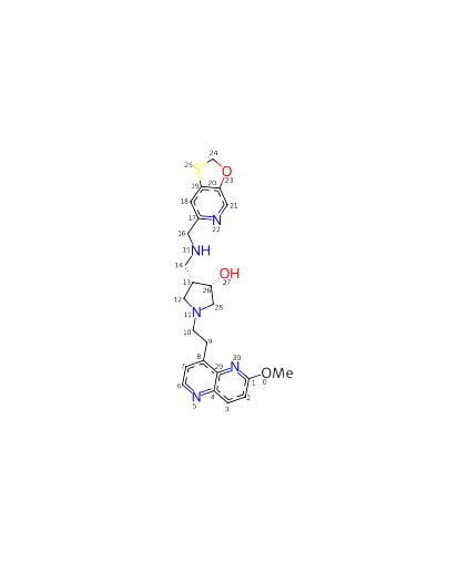 COc1ccc2nccc(CCN3C[C@H](CNCc4cc5c(cn4)OCS5)[C@H](O)C3)c2n1